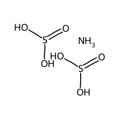 N.O=S(O)O.O=S(O)O